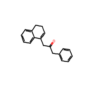 O=C(CC1=CCCc2ccccc21)Cc1ccccc1